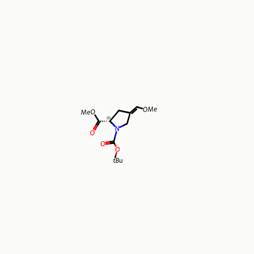 COC=C1C[C@@H](C(=O)OC)N(C(=O)OC(C)(C)C)C1